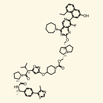 CCc1cccc2cc(O)cc(-c3ncc4c(N5CCCCCC5)nc(OC[C@]56CCCN5[C@H](COC(=O)N5CCC(Oc7cc([C@@H](C(=O)N8CCC[C@H]8C(=O)N[C@@H](C)c8ccc(-c9scnc9C)cc8)C(C)C)on7)CC5)CC6)nc4c3F)c12